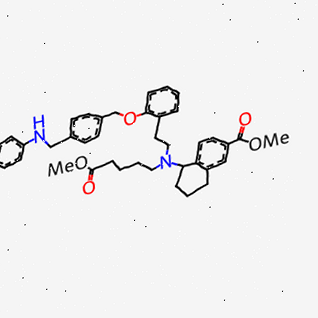 COC(=O)CCCCN(CCc1ccccc1OCc1ccc(CNc2ccccc2)cc1)C1CCCc2cc(C(=O)OC)ccc21